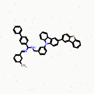 CC1C=CC=C(/C=N/C(NCc2cccc(N3c4ccc(-c5ccc6sc7ccccc7c6c5)cc4C4C=CC=CC43)c2)c2ccc(-c3ccccc3)cc2)C1